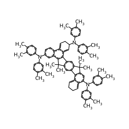 Cc1ccc(N(c2ccc(C)c(C)c2)c2ccc3c4c(c5c(c3c2)C(C)(C)c2cc3c(cc2-5)C(C)(C)c2cc(N(c5ccc(C)c(C)c5)c5ccc(C)c(C)c5)c5c(c2-3)=CCCC=5)=CC(N(c2ccc(C)c(C)c2)c2ccc(C)c(C)c2)CC=4)cc1C